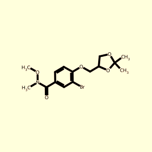 CON(C)C(=O)c1ccc(OCC2COC(C)(C)O2)c(Br)c1